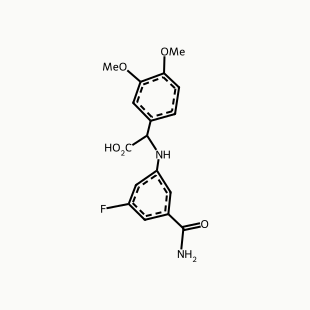 COc1ccc(C(Nc2cc(F)cc(C(N)=O)c2)C(=O)O)cc1OC